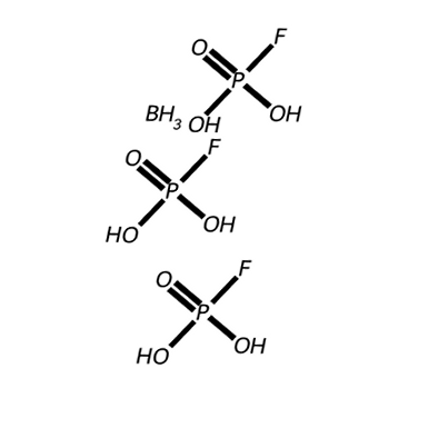 B.O=P(O)(O)F.O=P(O)(O)F.O=P(O)(O)F